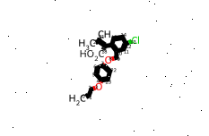 C=CCOc1ccc(OCc2cc(Cl)ccc2C(C(=O)O)=C(C)C)cc1